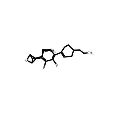 CCCC1CC=C(c2ccc(C3C4OC3C4CCC)c(F)c2F)CC1